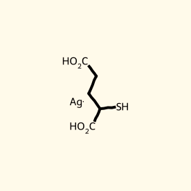 O=C(O)CCC(S)C(=O)O.[Ag]